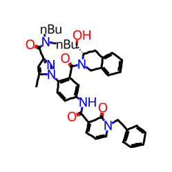 CCCCN(CCCC)C(=O)c1cc(C)n(-c2ccc(NC(=O)c3cccn(Cc4ccccc4)c3=O)cc2C(=O)N2Cc3ccccc3C[C@H]2CO)n1